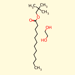 CCCCCCCCCCCC(=O)OCC(C)(C)C.OCCO